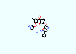 Cc1cc(OC2CCN(C)C2)c2oc3cc(Oc4ccc(CC(C(N)=O)C5CCCC5)nc4)ccc3c(=O)c2c1